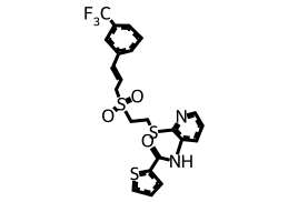 O=C(Nc1cccnc1SCCS(=O)(=O)CC=Cc1cccc(C(F)(F)F)c1)c1cccs1